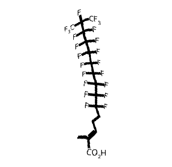 C/C(=C\CCC(F)(F)C(F)(F)C(F)(F)C(F)(F)C(F)(F)C(F)(F)C(F)(F)C(F)(F)C(F)(C(F)(F)F)C(F)(F)F)C(=O)O